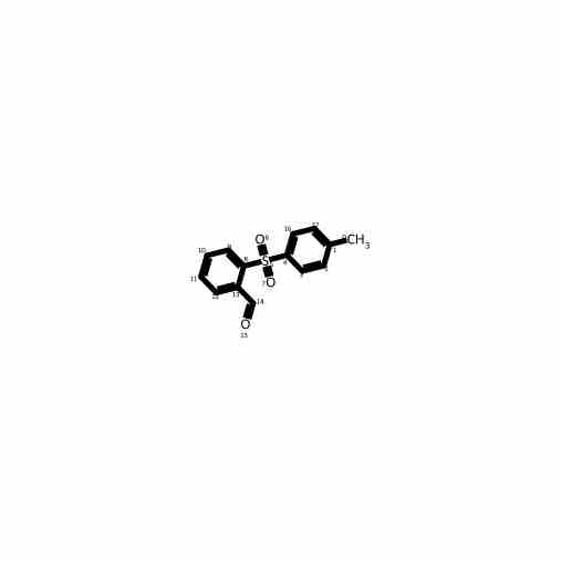 Cc1ccc(S(=O)(=O)c2ccccc2C=O)cc1